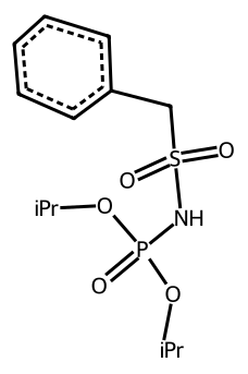 CC(C)OP(=O)(NS(=O)(=O)Cc1ccccc1)OC(C)C